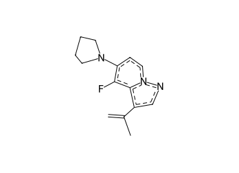 C=C(C)c1cnn2ccc(N3CCCC3)c(F)c12